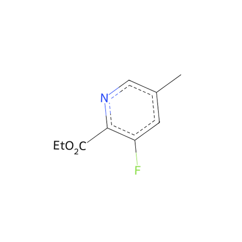 CCOC(=O)c1ncc(C)cc1F